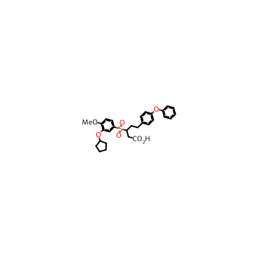 COc1ccc(S(=O)(=O)C(CCc2ccc(Oc3ccccc3)cc2)CC(=O)O)cc1OC1CCCC1